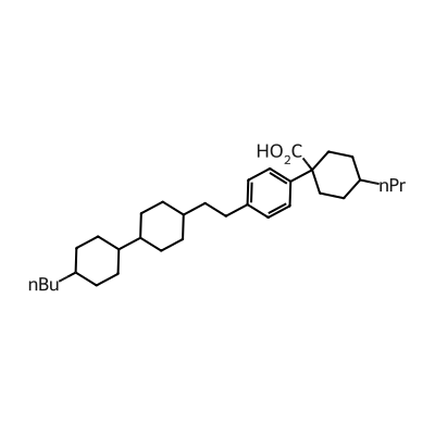 CCCCC1CCC(C2CCC(CCc3ccc(C4(C(=O)O)CCC(CCC)CC4)cc3)CC2)CC1